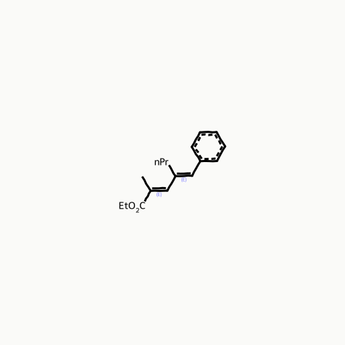 CCCC(=C\c1ccccc1)/C=C(\C)C(=O)OCC